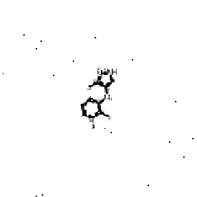 Cc1cccc(Oc2[c][nH]nc2C)c1C